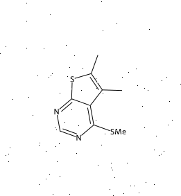 CSc1ncnc2sc(C)c(C)c12